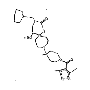 CCCCC1CN(CC2CCCCC2)C(=O)OC12CCN(C1(C)CCN(C(=O)c3c(C)noc3C)CC1)CC2